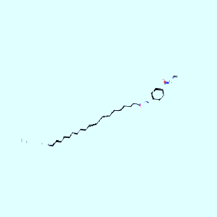 O=C(O)CCCCCCCCCCCCCCCCCCC(=O)NC[C@H]1CC[C@H](C(=O)NCC(=O)O)CC1